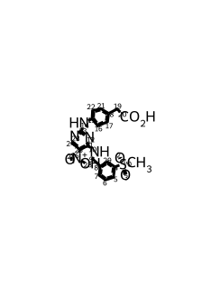 CS(=O)(=O)c1cccc(CNc2nc(Nc3ccc(CC(=O)O)cc3)ncc2[N+](=O)O)c1